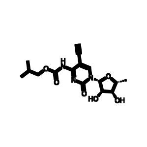 C#Cc1cn([C@@H]2O[C@H](C)[C@@H](O)[C@H]2O)c(=O)nc1NC(=O)OCC(C)C